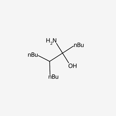 CCCCC(CCCC)C(N)(O)CCCC